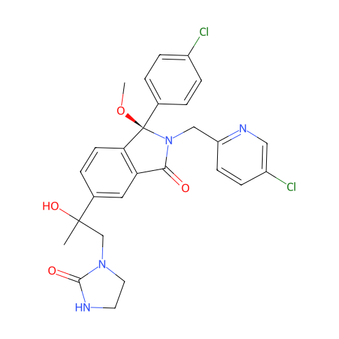 CO[C@]1(c2ccc(Cl)cc2)c2ccc(C(C)(O)CN3CCNC3=O)cc2C(=O)N1Cc1ccc(Cl)cn1